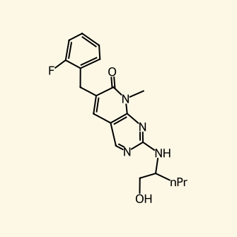 CCCC(CO)Nc1ncc2cc(Cc3ccccc3F)c(=O)n(C)c2n1